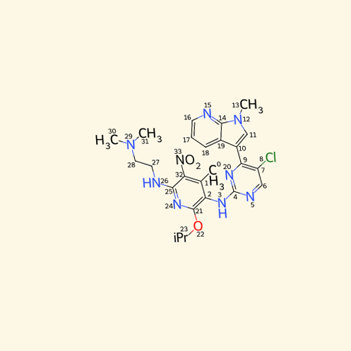 Cc1c(Nc2ncc(Cl)c(-c3cn(C)c4ncccc34)n2)c(OC(C)C)nc(NCCN(C)C)c1[N+](=O)[O-]